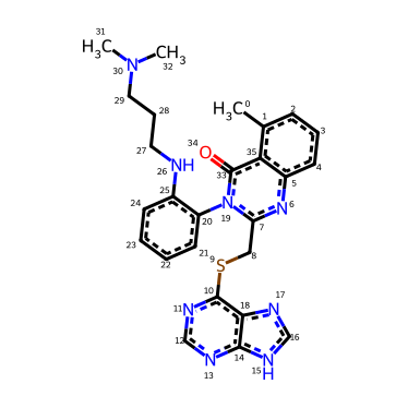 Cc1cccc2nc(CSc3ncnc4[nH]cnc34)n(-c3ccccc3NCCCN(C)C)c(=O)c12